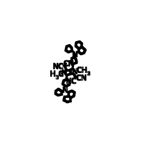 Cn1c(-c2ccc(N(c3ccccc3)c3cccc4ccccc34)cc2)c2c(=C(C#N)C#N)n(C)c(-c3ccc(N(c4ccccc4)c4cccc5ccccc45)cc3)c2c1=C(C#N)C#N